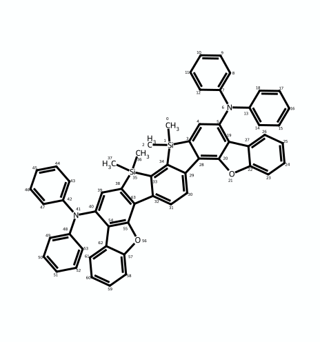 C[Si]1(C)c2cc(N(c3ccccc3)c3ccccc3)c3c(oc4ccccc43)c2-c2ccc3c(c21)[Si](C)(C)c1cc(N(c2ccccc2)c2ccccc2)c2c(oc4ccccc42)c1-3